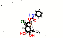 O=C(Nc1ccccc1)Oc1sc2c([N+](=O)[O-])c(O)c(O)cc2c1Cl